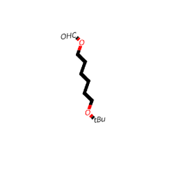 CC(C)(C)OCCCCCCOC=O